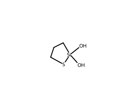 O[Si]1(O)CCCS1